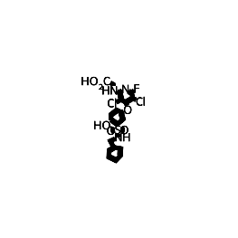 O=C(O)CNc1nc(F)c(Cl)c(Oc2ccc(O)c(S(=O)(=O)NCc3ccccc3)c2)c1Cl